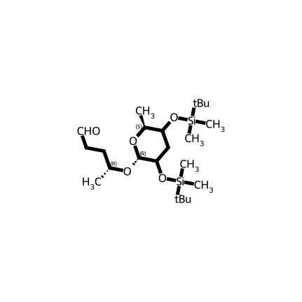 C[C@H](CCC=O)O[C@@H]1O[C@@H](C)C(O[Si](C)(C)C(C)(C)C)CC1O[Si](C)(C)C(C)(C)C